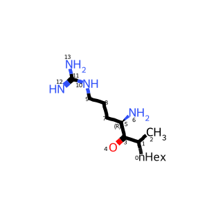 CCCCCCC(C)C(=O)[C@H](N)CCCNC(=N)N